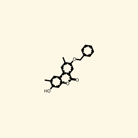 Cc1cc2c(cc1O)oc(=O)c1cc(OCc3ccccc3)c(C)cc12